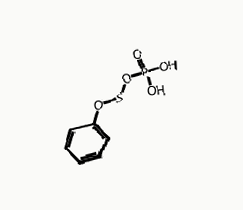 O=P(O)(O)OSOc1ccccc1